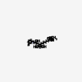 CS(=O)(=O)NC(=O)CCCCCC[C@@H]1[C@@H](CCC(O)/C=C/c2cccc(F)c2)[C@H](O)C[C@@H]1O